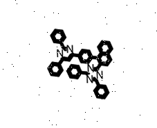 c1ccc(-c2cc(-c3ccc(-c4c(-c5nc(-c6ccccc6)nc(-c6ccccc6)n5)ccc5ccccc45)cc3)nc(-c3ccccc3)n2)cc1